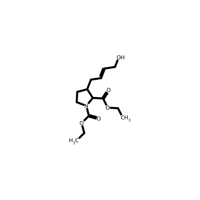 CCOC(=O)C1C(CC=CCO)CCN1C(=O)OCC